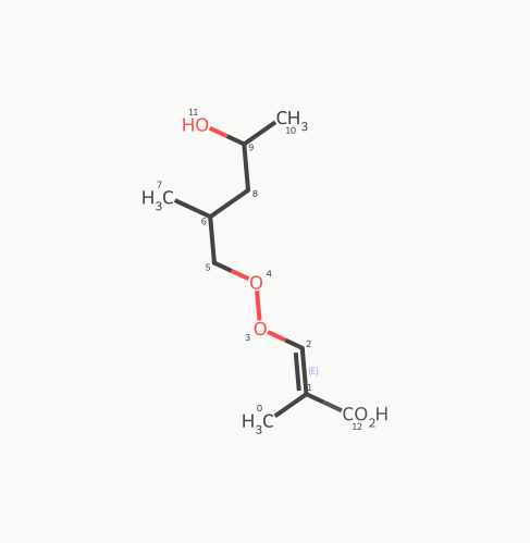 C/C(=C\OOCC(C)CC(C)O)C(=O)O